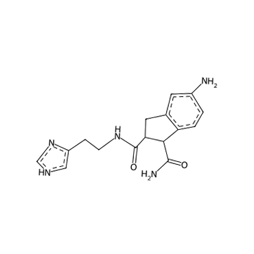 NC(=O)C1c2ccc(N)cc2CC1C(=O)NCCc1c[nH]cn1